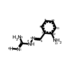 [H]/N=C(\N)NN=Cc1ccccc1N